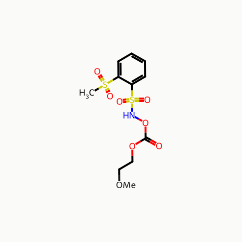 COCCOC(=O)ONS(=O)(=O)c1ccccc1S(C)(=O)=O